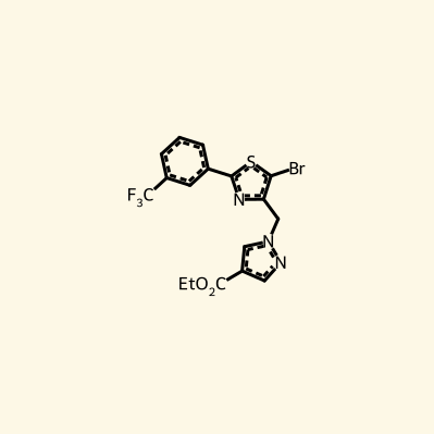 CCOC(=O)c1cnn(Cc2nc(-c3cccc(C(F)(F)F)c3)sc2Br)c1